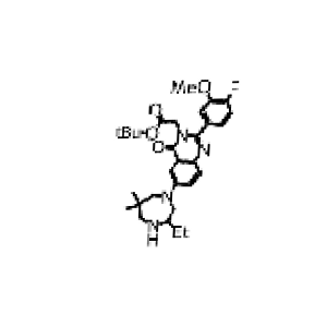 CCC1CN(c2ccc3nc(-c4ccc(F)c(OC)c4)n(CC(=O)OC(C)(C)C)c(=O)c3c2)CC(C)(C)CN1